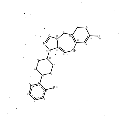 Fc1cccnc1C1CCC(N2N=CN3CC4=C(C=C(Cl)CC4)NC=C32)CC1